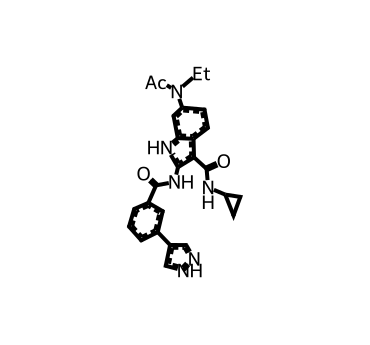 CCN(C(C)=O)c1ccc2c(C(=O)NC3CC3)c(NC(=O)c3cccc(-c4cn[nH]c4)c3)[nH]c2c1